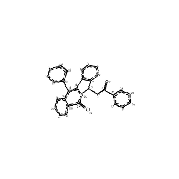 O=C(CC1c2ccccc2-c2c(-c3ccccc3)c3ccccc3c(=O)n21)c1ccccc1